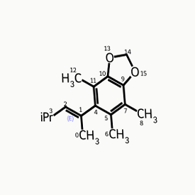 C/C(=C\C(C)C)c1c(C)c(C)c2c(c1C)OCO2